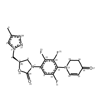 Cc1cn(C[C@H]2CN(c3cc(F)c(N4C=CC(=O)CC4)c(F)c3F)C(=O)O2)nn1